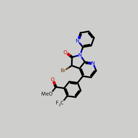 COC(=O)c1cc(-c2ccnc3c2C(Br)C(=O)N3c2ccccn2)ccc1C(F)(F)F